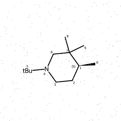 C[C@H]1CCN(C(C)(C)C)CC1(C)C